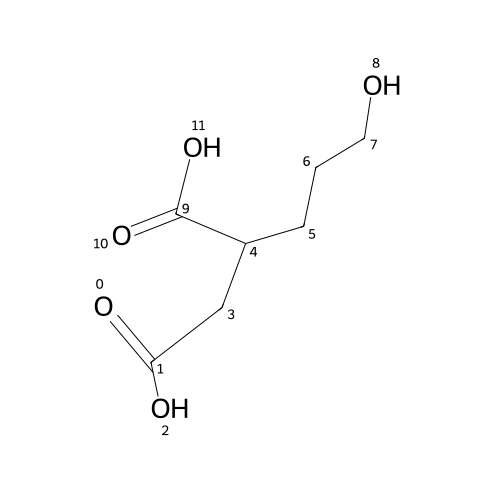 O=C(O)CC(CCCO)C(=O)O